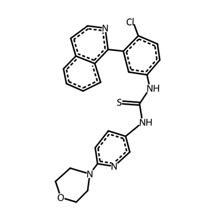 S=C(Nc1ccc(N2CCOCC2)nc1)Nc1ccc(Cl)c(-c2nccc3ccccc23)c1